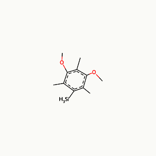 COc1c(C)c([SiH3])c(C)c(OC)c1C